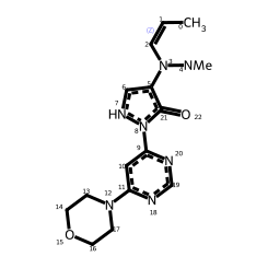 C/C=C\N(NC)c1c[nH]n(-c2cc(N3CCOCC3)ncn2)c1=O